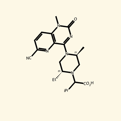 CC[C@@H]1CN(c2nc(=O)n(C)c3ccc(C#N)nc23)[C@@H](C)CN1C(C(=O)O)C(C)C